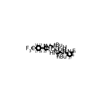 CCCC[C@H](NC(=O)O[C@H](Cn1ccc(-c2ccc(C(F)(F)F)cc2)n1)C(C)(C)C)[C@H](O)CNc1cccc(F)n1